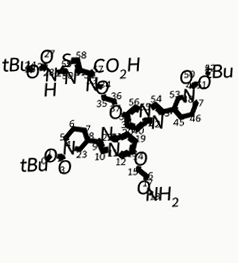 CC(C)(C)OC(=O)N1CCCC(c2cn3cc(OCCON)ccc3n2)C1.CC(C)(C)OC(=O)Nc1nc(/C(=N/OCCOc2ccc3nc(C4CCCN(C(=O)OC(C)(C)C)C4)cn3c2)C(=O)O)cs1